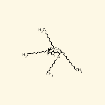 CCCCCCCCCCSc1csc(-c2scc(S(=O)(=O)CCCCCCCCCC)c2S(=O)(=O)CCCCCCCCCC)c1SCCCCCCCCCC